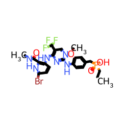 CCCP(=O)(O)Cc1ccc(Nc2ncc(C(F)(F)F)c(Nc3ccc(Br)nc3C(=O)NC)n2)c(OC)c1